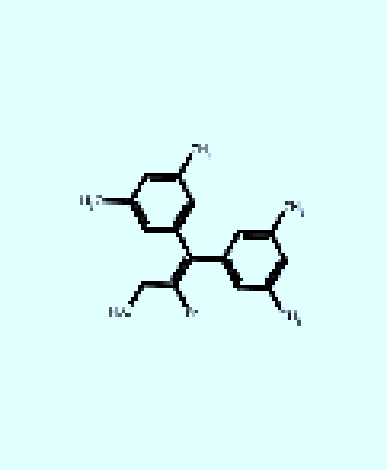 CCC(Br)=C(c1cc(C)cc(C)c1)c1cc(C)cc(C)c1